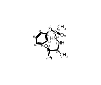 CC(C)C(=O)[C@H](C)NN[P@](C)(=O)Oc1ccccc1